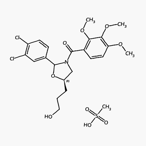 COc1ccc(C(=O)N2C[C@@H](CCCO)OC2c2ccc(Cl)c(Cl)c2)c(OC)c1OC.CS(=O)(=O)O